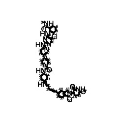 CNC(=O)c1ccccc1Nc1nc(Nc2ccc(N3CCN(C(=O)N[C@H]4CC[C@@H](NCCC#Cc5ccc6c(c5)CN(C5CCC(=O)NC5=O)C6=O)CC4)CC3)cn2)ncc1Cl